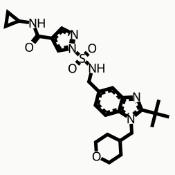 CC(C)(C)c1nc2cc(CNS(=O)(=O)n3cc(C(=O)NC4CC4)cn3)ccc2n1CC1CCOCC1